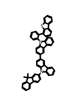 CC1(C)c2ccccc2-c2ccc(-n3c4ccccc4c4cc(-c5ccc6c(c5)c5ccccc5n6-c5ccccc5-c5cccc6c5sc5ccccc56)ccc43)cc21